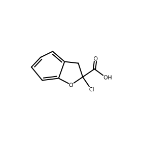 O=C(O)C1(Cl)Cc2ccccc2O1